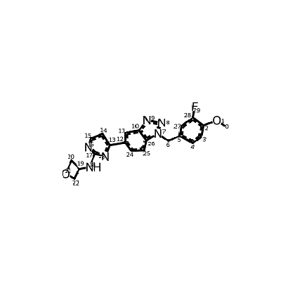 COc1ccc(Cn2nnc3cc(-c4ccnc(NC5COC5)n4)ccc32)cc1F